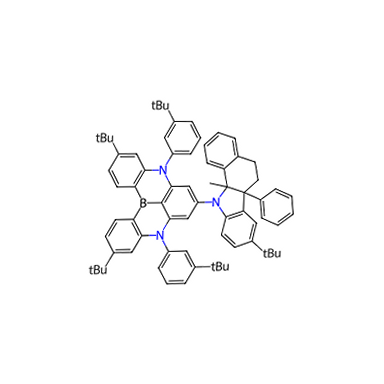 CC(C)(C)c1cccc(N2c3cc(C(C)(C)C)ccc3B3c4ccc(C(C)(C)C)cc4N(c4cccc(C(C)(C)C)c4)c4cc(N5c6ccc(C(C)(C)C)cc6C6(c7ccccc7)CCc7ccccc7C56C)cc2c43)c1